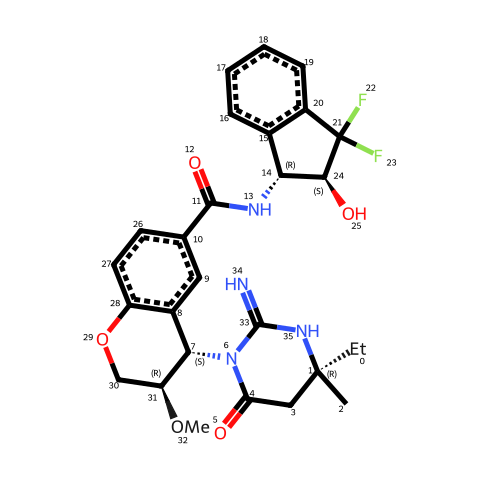 CC[C@]1(C)CC(=O)N([C@H]2c3cc(C(=O)N[C@@H]4c5ccccc5C(F)(F)[C@H]4O)ccc3OC[C@@H]2OC)C(=N)N1